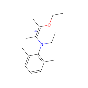 CCO/C(C)=C(/C)N(CC)c1c(C)cccc1C